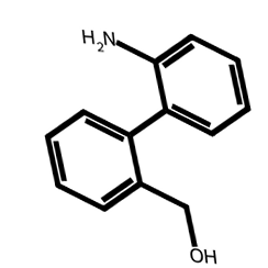 Nc1ccccc1-c1ccccc1CO